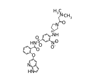 CN(C)CC(=O)N1CC[C@@H](Nc2ccc(S(=O)(=O)NC(=O)c3ccccc3Oc3cnc4[nH]ccc4c3)cc2[N+](=O)[O-])C1